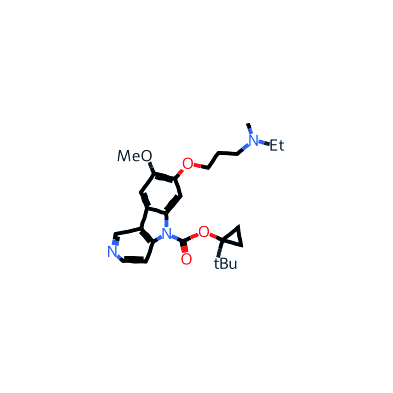 CCN(C)CCCOc1cc2c(cc1OC)c1cnccc1n2C(=O)OC1(C(C)(C)C)CC1